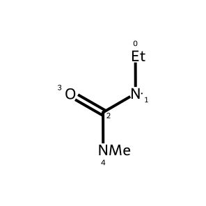 CC[N]C(=O)NC